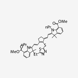 CCCN1/C(=C/C=C2\CCC(/C=C/C3=[N+](CCC)c4c(C(=O)OC)cccc4C3(C)C)=C2Sc2nnc(CC)s2)C(C)(C)c2cccc(C(=O)OC)c21